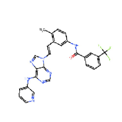 Cc1ccc(NC(=O)c2cccc(C(F)(F)F)c2)cc1/C=C/n1cnc2c(Nc3cccnc3)ncnc21